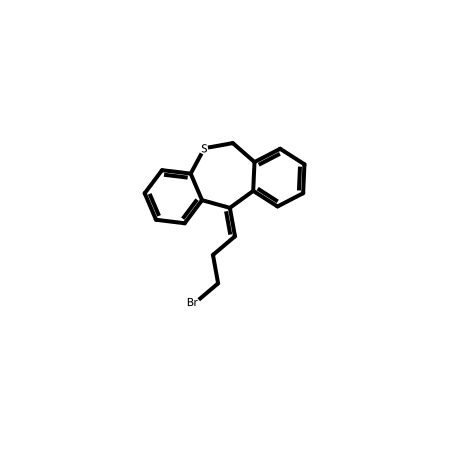 BrCC/C=C1/c2ccccc2CSc2ccccc21